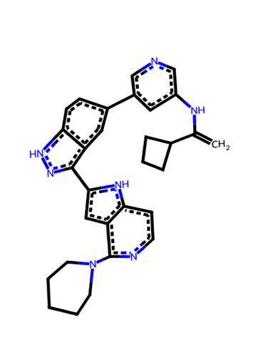 C=C(Nc1cncc(-c2ccc3[nH]nc(-c4cc5c(N6CCCCC6)nccc5[nH]4)c3c2)c1)C1CCC1